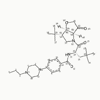 CCCN1CCN(c2ccc(C(=O)N[C@@H](CC(C)(C)C)C(=O)N3C[C@H](C(C)(C)C)[C@H]4OCC(=O)[C@H]43)cc2)CC1